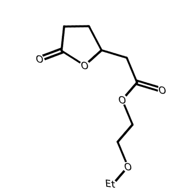 CCOCCOC(=O)CC1CCC(=O)O1